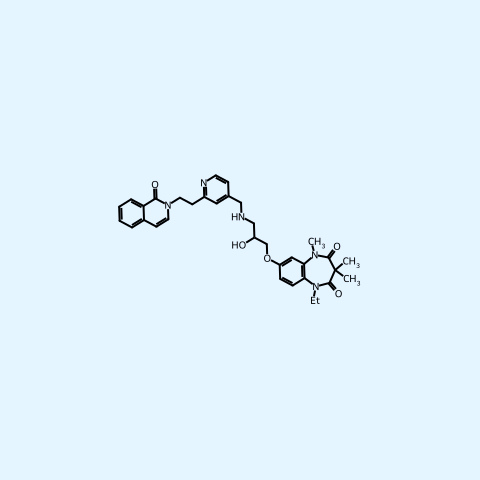 CCN1C(=O)C(C)(C)C(=O)N(C)c2cc(OCC(O)CNCc3ccnc(CCn4ccc5ccccc5c4=O)c3)ccc21